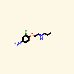 CCCNCCOc1ccc(N)cc1F